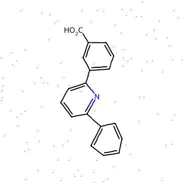 O=C(O)c1cccc(-c2cccc(-c3ccccc3)n2)c1